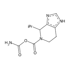 CC(C)C1c2nc[nH]c2CCN1C(=O)OC(N)=O